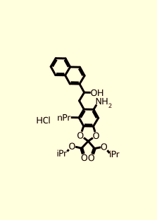 CCCc1c(CC(O)c2ccc3ccccc3c2)c(N)cc2c1OC(C(=O)OC(C)C)(C(=O)OC(C)C)O2.Cl